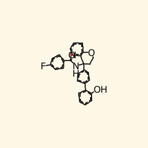 O=C(NC1(c2ccc(-c3ccccc3O)cc2)CCOc2cccnc21)c1ccc(F)cc1